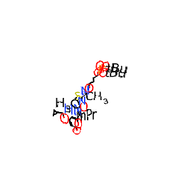 CCC[C@@H](NC(=O)C1(C)CSC(/C(C)=N/OCCCCOP(=O)(OC(C)(C)C)OC(C)(C)C)=N1)c1cc(OCC2CC2)cc(=O)o1